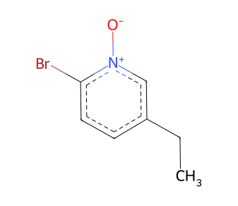 CCc1ccc(Br)[n+]([O-])c1